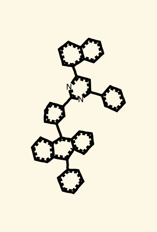 c1ccc(-c2cc(-c3cccc4ccccc34)nc(-c3cccc(-c4c5ccccc5c(-c5ccccc5)c5ccccc45)c3)n2)cc1